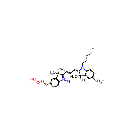 CC[N+]1=C(/C=C/C=C2/N(CCCCC(C)C)c3ccc(S(=O)(=O)O)cc3C2(C)C)C(C)(C)c2cc(SOOO)ccc21